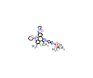 Cc1cc2c(cnn2C2CCCCO2)c(-c2c(-c3ccc(CN4CCCC4=O)cc3)nn(C3CC4(C3)CN(C(=O)OC(C)(C)C)C4)c2C)c1Cl